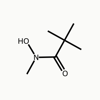 CN(O)C(=O)C(C)(C)C